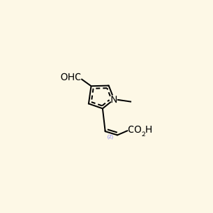 Cn1cc(C=O)cc1/C=C\C(=O)O